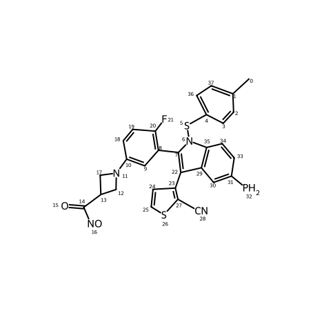 Cc1ccc(Sn2c(-c3cc(N4CC(C(=O)N=O)C4)ccc3F)c(-c3ccsc3C#N)c3cc(P)ccc32)cc1